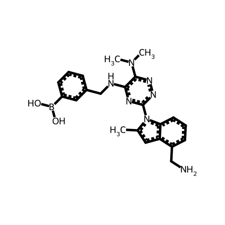 Cc1cc2c(CN)cccc2n1-c1nnc(N(C)C)c(NCc2cccc(B(O)O)c2)n1